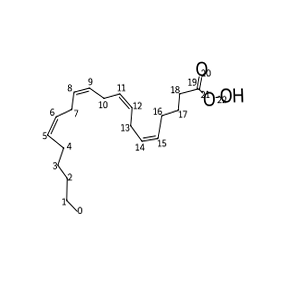 CCCCC/C=C\C/C=C\C/C=C\C/C=C\CCCC(=O)OO